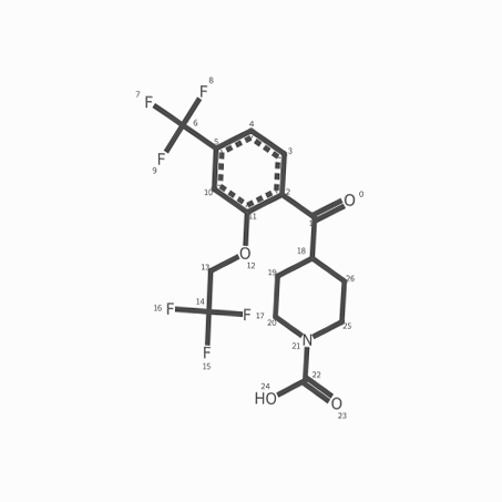 O=C(c1ccc(C(F)(F)F)cc1OCC(F)(F)F)C1CCN(C(=O)O)CC1